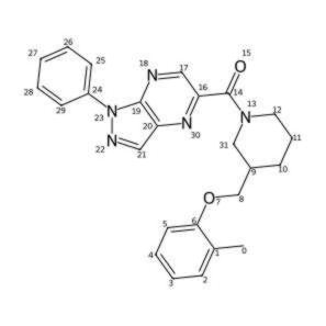 Cc1ccccc1OCC1CCCN(C(=O)c2cnc3c(cnn3-c3ccccc3)n2)C1